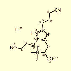 C[N+](C)(C)[C@@H](Cc1nc([Se]CCC#N)[nH]c1[Se]CCC#N)C(=O)[O-].I